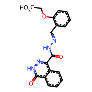 O=C(O)COc1ccccc1/C=N/NC(=O)c1n[nH]c(=O)c2ccccc12